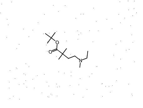 CCN(C)CCC(C)(C)C(=O)OC(C)(C)C